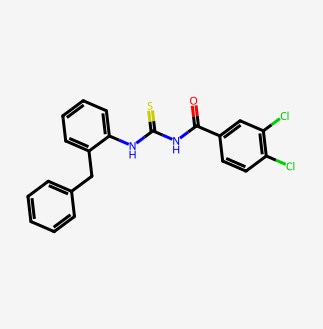 O=C(NC(=S)Nc1ccccc1Cc1ccccc1)c1ccc(Cl)c(Cl)c1